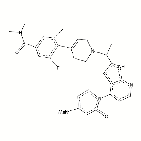 CNc1ccn(-c2ccnc3[nH]c(C(C)N4CC=C(c5c(C)cc(C(=O)N(C)C)cc5F)CC4)cc23)c(=O)c1